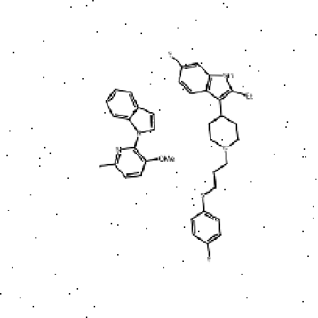 CCc1[nH]c2cc(F)ccc2c1C1CCN(CCCSc2ccc(F)cc2)CC1.COc1ccc(C)nc1-n1ccc2ccccc21